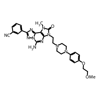 COCCOc1ccc(N2CCN(CCn3c(=O)n(C)c4c3nc(N)n3nc(-c5cccc(C#N)c5)nc43)CC2)cc1